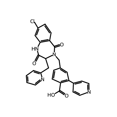 O=C(O)c1ccc(CN2C(=O)c3ccc(Cl)cc3NC(=O)C2Cc2ccccn2)cc1-c1ccncc1